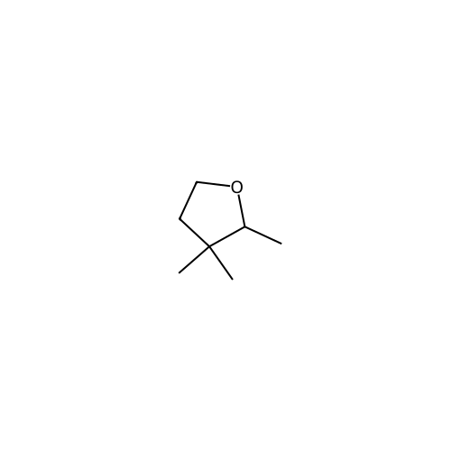 CC1OCCC1(C)C